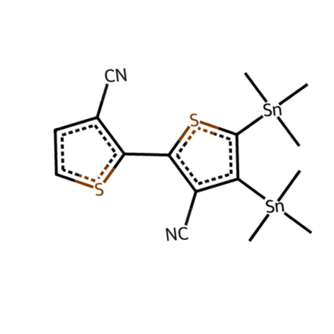 [CH3][Sn]([CH3])([CH3])[c]1sc(-c2sccc2C#N)c(C#N)[c]1[Sn]([CH3])([CH3])[CH3]